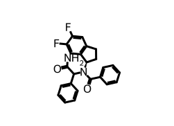 NC(=O)C(c1ccccc1)N(C(=O)c1ccccc1)[C@@H]1CCc2cc(F)c(F)cc21